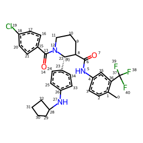 Cc1ccc(NC(=O)C2CCCN(C(=O)c3ccc(Cl)cc3)[C@H]2c2ccc(NC3CCCC3)cc2)cc1C(F)(F)F